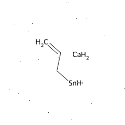 C=C[CH2][SnH].[CaH2]